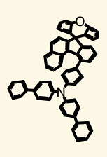 c1ccc(-c2ccc(N(c3ccc(-c4ccccc4)cc3)c3ccc(-c4cccc5c4-c4c(ccc6ccccc46)C54c5ccccc5Oc5ccccc54)cc3)cc2)cc1